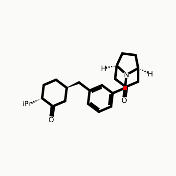 CC(C)[C@@H]1CC[C@@H](Cc2cccc(CN3[C@@H]4CC[C@H]3CC(=O)C4)c2)CC1=O